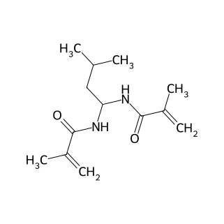 C=C(C)C(=O)NC(CC(C)C)NC(=O)C(=C)C